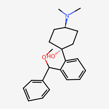 COC(c1ccccc1)c1ccccc1[C@]1(O)CC[C@H](N(C)C)CC1